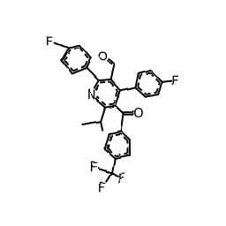 CC(C)c1nc(-c2ccc(F)cc2)c(C=O)c(-c2ccc(F)cc2)c1C(=O)c1ccc(C(F)(F)F)cc1